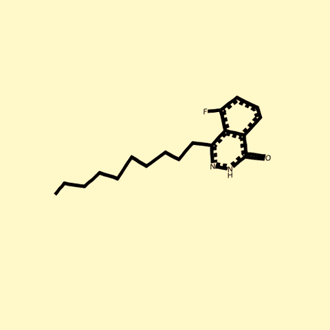 CCCCCCCCCCc1n[nH]c(=O)c2cccc(F)c12